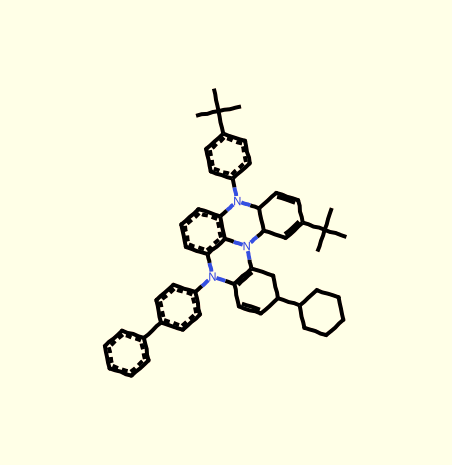 CC(C)(C)C1=CC2C(C=C1)N(c1ccc(C(C)(C)C)cc1)c1cccc3c1N2C1=C(C=CC(C2CCCCC2)C1)N3c1ccc(-c2ccccc2)cc1